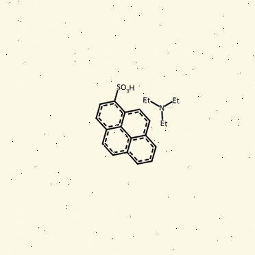 CCN(CC)CC.O=S(=O)(O)c1ccc2ccc3cccc4ccc1c2c34